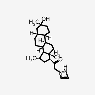 C[C@@H]1C[C@H](C(=O)Cn2cc[nH]2)[C@@]2(C)CC[C@@H]3[C@H]4CC[C@@](C)(O)C[C@H]4CC[C@H]3C12